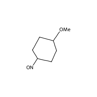 COC1CCC(N=O)CC1